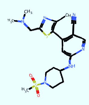 Cc1nc(CN(C)C)sc1-c1cc(NC2CCN(S(C)(=O)=O)CC2)ncc1C#N